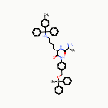 Cc1ccc(C(NCCCC[C@H](NC(=O)[C@@H](N)C(C)C)C(=O)Nc2ccc(CO[Si](c3ccccc3)(c3ccccc3)C(C)(C)C)cc2)(c2ccccc2)c2ccccc2)cc1